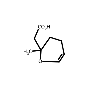 CC1(CC(=O)O)CCC=CO1